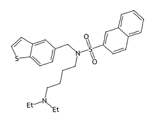 CCN(CC)CCCCN(Cc1ccc2sccc2c1)S(=O)(=O)c1ccc2ccccc2c1